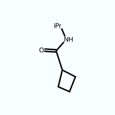 CC(C)NC(=O)C1CCC1